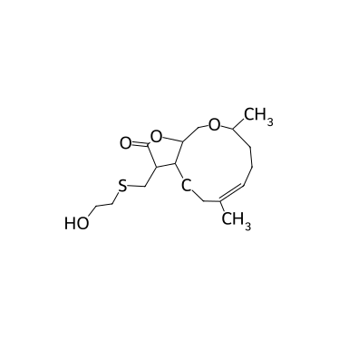 CC1=CCCC(C)OCC2OC(=O)C(CSCCO)C2CC1